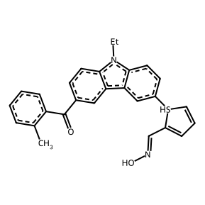 CCn1c2ccc(C(=O)c3ccccc3C)cc2c2cc([SH]3C=CC=C3C=NO)ccc21